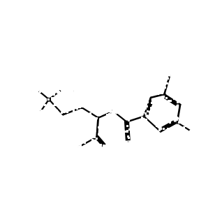 CC(C)(C)CCC(NC(=O)c1cc(Cl)cc(Cl)c1)C(=O)O